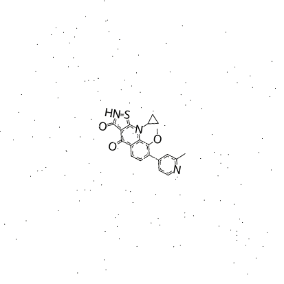 COc1c(-c2ccnc(C)c2)ccc2c(=O)c3c(=O)[nH]sc3n(C3CC3)c12